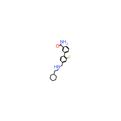 NC(=O)c1cccc(-c2ccc(CNCCC3CCCCC3)cc2F)c1